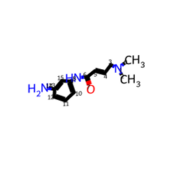 CN(C)CC=CC(=O)Nc1cccc(N)c1